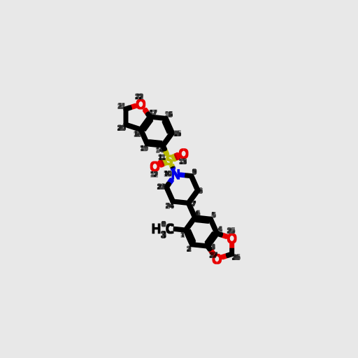 Cc1cc2c(cc1C1CCN(S(=O)(=O)c3ccc4c(c3)CCO4)CC1)OCO2